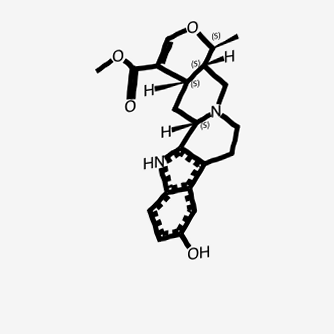 COC(=O)C1=CO[C@@H](C)[C@@H]2CN3CCc4c([nH]c5ccc(O)cc45)[C@@H]3C[C@H]12